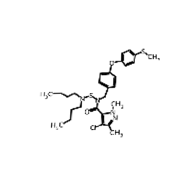 CCCCN(CCCC)SN(Cc1ccc(Oc2ccc(SC)cc2)cc1)C(=O)c1c(Cl)c(C)nn1C